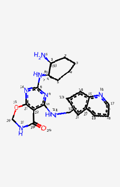 N[C@H]1CCCC[C@H]1Nc1nc(Nc2ccc3ncccc3c2)c2c(n1)OCNC2=O